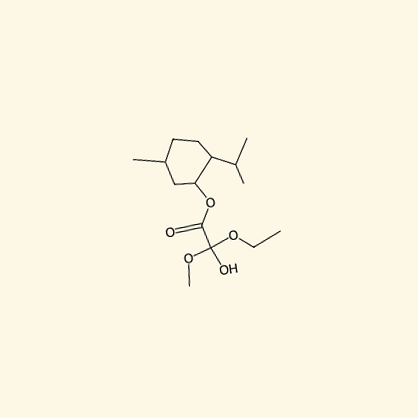 CCOC(O)(OC)C(=O)OC1CC(C)CCC1C(C)C